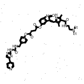 CCN(CC)CCNC(=O)c1c(C)[nH]c(/C=C2\C(=O)Nc3ccc(OC(=O)CCC(=O)Oc4ccc(CNC(=O)Nc5nc(-c6ccncc6)cs5)cc4)cc32)c1C